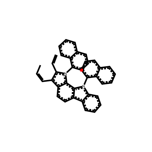 C=Cc1c(/C=C\C)c2ccc3c4ccccc4n(-c4cccc5ccccc45)c3c2n1-c1cccc2ccccc12